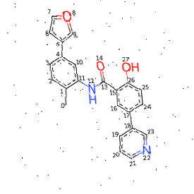 Cc1ccc(-c2ccoc2)cc1NC(=O)c1cc(-c2cccnc2)ccc1O